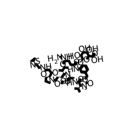 CCC(C)[C@@H]([C@@H](CC(=O)N1CCC[C@H]1[C@H](OC)[C@@H](C)C(=O)NCc1nccs1)OC)N(C)C(=O)CNC(=O)[C@H](C(C)C)N(C)C(=O)OCc1ccc(O[C@@H]2OC(C(=O)O)[C@@H](O)C(O)C2O)c(NC(=O)CCC(=O)NN)c1